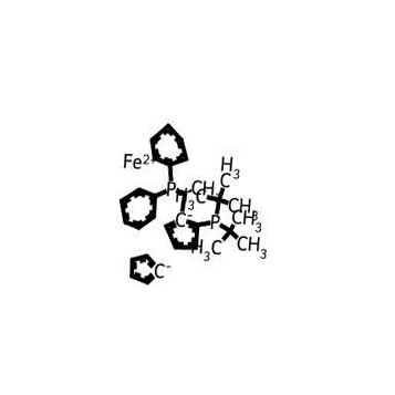 C[C@H]([c-]1cccc1P(C(C)(C)C)C(C)(C)C)P(c1ccccc1)c1ccccc1.[Fe+2].c1cc[cH-]c1